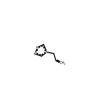 C=CCn1cnnc1